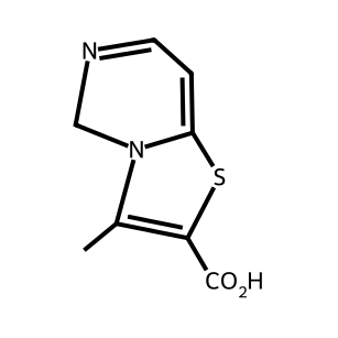 CC1=C(C(=O)O)SC2=CC=NCN21